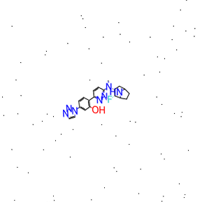 CN(c1ccc(-c2ccc(-n3ccnn3)cc2O)nn1)[C@@H]1CC2CCC(N2)[C@@H]1F